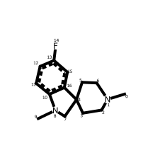 CN1CCC2(CC1)CN(C)c1ccc(F)cc12